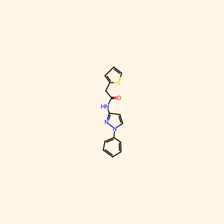 O=C(Cc1cccs1)Nc1ccn(-c2ccccc2)n1